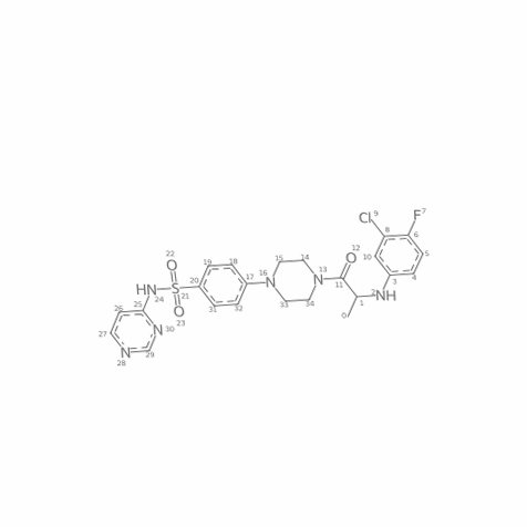 CC(Nc1ccc(F)c(Cl)c1)C(=O)N1CCN(c2ccc(S(=O)(=O)Nc3ccncn3)cc2)CC1